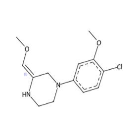 CO/C=C1\CN(c2ccc(Cl)c(OC)c2)CCN1